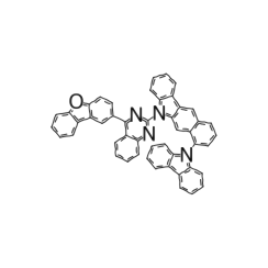 c1cc(-n2c3ccccc3c3ccccc32)c2cc3c(cc2c1)c1ccccc1n3-c1nc(-c2ccc3oc4ccccc4c3c2)c2ccccc2n1